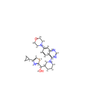 OC(c1nc(C2CC2)cs1)C1CCCN(c2ncnc3cc(N4CCOCC4)ccc23)C1